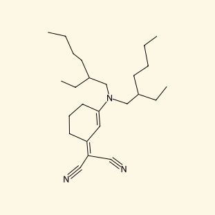 CCCCC(CC)CN(CC(CC)CCCC)C1=CC(=C(C#N)C#N)CCC1